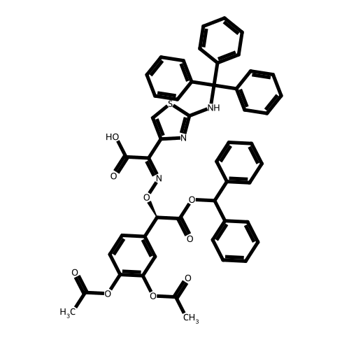 CC(=O)Oc1ccc([C@@H](O/N=C(\C(=O)O)c2csc(NC(c3ccccc3)(c3ccccc3)c3ccccc3)n2)C(=O)OC(c2ccccc2)c2ccccc2)cc1OC(C)=O